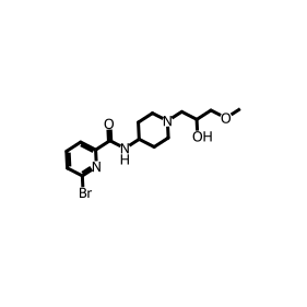 COCC(O)CN1CCC(NC(=O)c2cccc(Br)n2)CC1